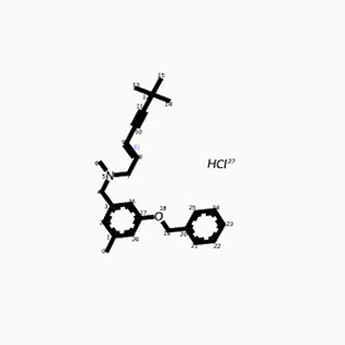 Cc1cc(CN(C)C/C=C/C#CC(C)(C)C)cc(OCc2ccccc2)c1.Cl